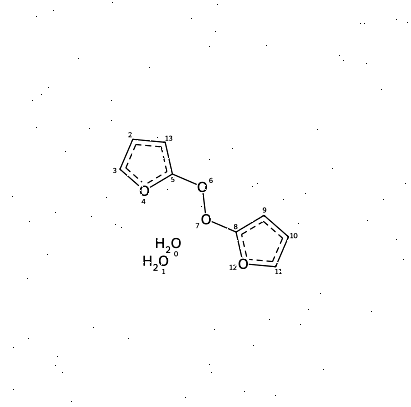 O.O.c1coc(OOc2ccco2)c1